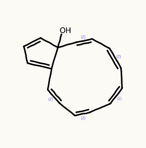 OC12C=CC=C1\C=C/C=C\C=C/C=C\C=C/2